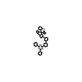 c1ccc(-c2nc(-c3ccccc3)nc(-c3cccc(-c4cccc(-c5ccc6c(c5)C5(c7ccccc7Oc7ccccc75)c5ccccc5-6)c4)c3)n2)cc1